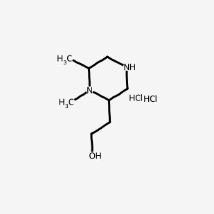 CC1CNCC(CCO)N1C.Cl.Cl